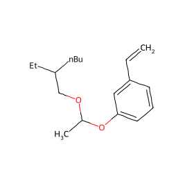 C=Cc1cccc(OC(C)OCC(CC)CCCC)c1